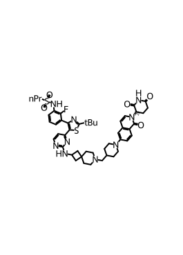 CCCS(=O)(=O)Nc1cccc(-c2nc(C(C)(C)C)sc2-c2ccnc(NC3CC4(CCN(CC5CCN(c6ccc7c(=O)n([C@@H]8CCC(=O)NC8=O)ccc7c6)CC5)CC4)C3)n2)c1F